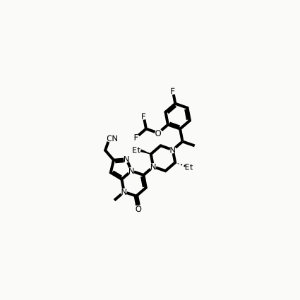 CC[C@H]1CN(C(C)c2ccc(F)cc2OC(F)F)[C@H](CC)CN1c1cc(=O)n(C)c2cc(CC#N)nn12